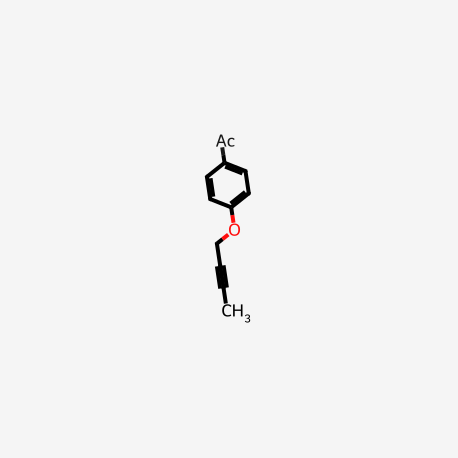 CC#CCOc1ccc(C(C)=O)cc1